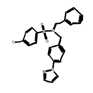 O=S(=O)(c1ccc(Cl)cc1)N(Cc1ccccc1)Cc1ccc(-n2cccn2)cc1